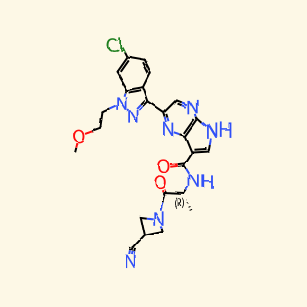 COCCn1nc(-c2cnc3[nH]cc(C(=O)N[C@H](C)C(=O)N4CC(C#N)C4)c3n2)c2ccc(Cl)cc21